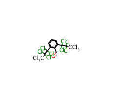 [O]Cc1c(C(Cl)(Cl)C(Cl)(Cl)C(Cl)(Cl)Cl)cccc1C(Cl)(Cl)C(Cl)(Cl)C(Cl)(Cl)Cl